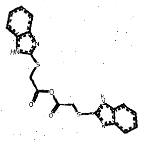 O=C(CSc1nc2ccccc2[nH]1)OC(=O)CSc1nc2ccccc2[nH]1